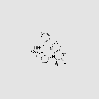 CC[C@@H]1C(=O)N(C)c2cnc(-c3ccncc3CNS(C)(=O)=O)nc2N1C1CCCC1